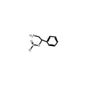 O=[N+]([O-])OC(CP)c1ccccc1